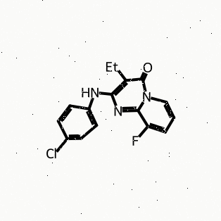 CCc1c(Nc2ccc(Cl)cc2)nc2c(F)cccn2c1=O